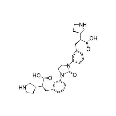 O=C(O)[C@@H](Cc1cccc(N2CCN(c3cccc(C[C@H](C(=O)O)[C@H]4CCNC4)c3)C2=O)c1)[C@H]1CCNC1